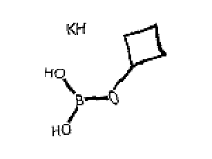 OB(O)OC1CCC1.[KH]